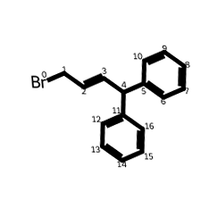 BrCC=CC(c1ccccc1)c1ccccc1